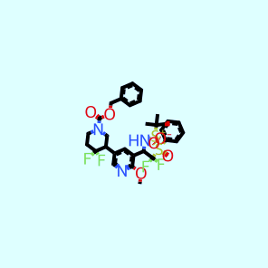 COc1ncc(C2CN(C(=O)OCc3ccccc3)CCC2(F)F)cc1C(N[S+]([O-])C(C)(C)C)C(F)(F)S(=O)(=O)c1ccccc1